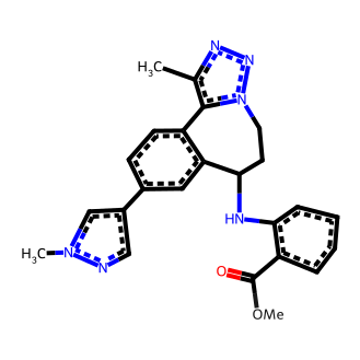 COC(=O)c1ccccc1NC1CCn2nnc(C)c2-c2ccc(-c3cnn(C)c3)cc21